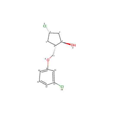 O[C@@H]1C[C@@H](Cl)C[C@H]1COc1cccc(Cl)c1